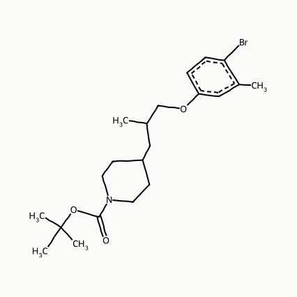 Cc1cc(OCC(C)CC2CCN(C(=O)OC(C)(C)C)CC2)ccc1Br